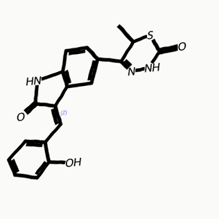 CC1SC(=O)NN=C1c1ccc2c(c1)/C(=C/c1ccccc1O)C(=O)N2